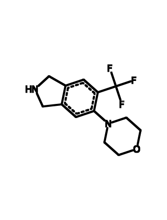 FC(F)(F)c1cc2c(cc1N1CCOCC1)CNC2